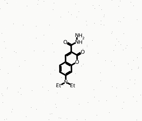 CCN(CC)c1ccc2cc(C(=O)NN)c(=O)oc2c1